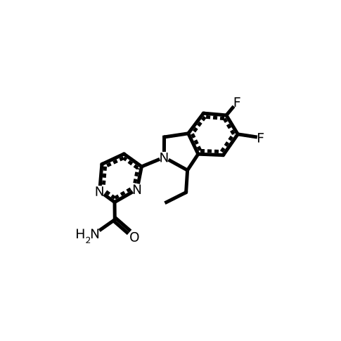 CCC1c2cc(F)c(F)cc2CN1c1ccnc(C(N)=O)n1